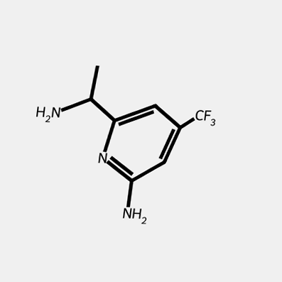 CC(N)c1cc(C(F)(F)F)cc(N)n1